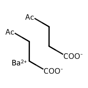 CC(=O)CCC(=O)[O-].CC(=O)CCC(=O)[O-].[Ba+2]